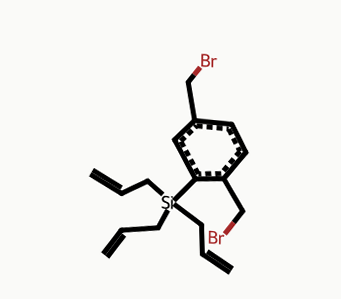 C=CC[Si](CC=C)(CC=C)c1cc(CBr)ccc1CBr